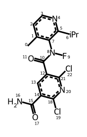 Cc1ccnc(C(C)C)c1N(F)C(=O)c1cc(C(N)=O)c(Cl)nc1Cl